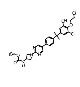 CC(C)(C)OC(=O)NC1CN(c2ncc(-c3ccc(C(C)(C)c4cc(Cl)c(OCCCl)c(C#N)c4)cc3)cn2)C1